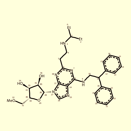 CCC(CC)NCCc1nc(NCC(c2ccccc2)c2ccccc2)c2ncn([C@@H]3O[C@H](COC)[C@@H](O)[C@H]3O)c2n1